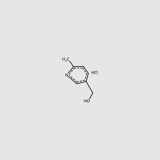 Cc1ccc(CO)cn1.Cl